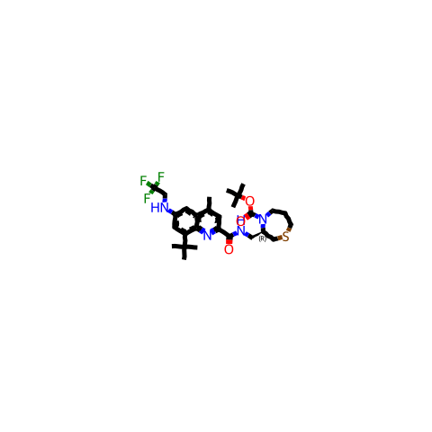 Cc1cc(C(=O)NC[C@@H]2CSCCCN2C(=O)OC(C)(C)C)nc2c(C(C)(C)C)cc(NCC(F)(F)F)cc12